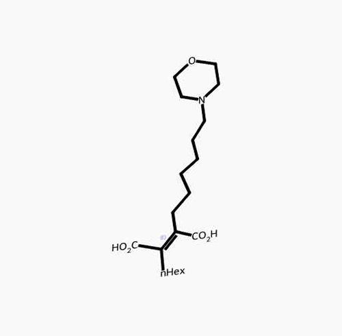 CCCCCC/C(C(=O)O)=C(/CCCCCCN1CCOCC1)C(=O)O